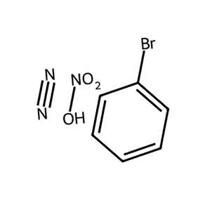 Brc1ccccc1.N#N.O=[N+]([O-])O